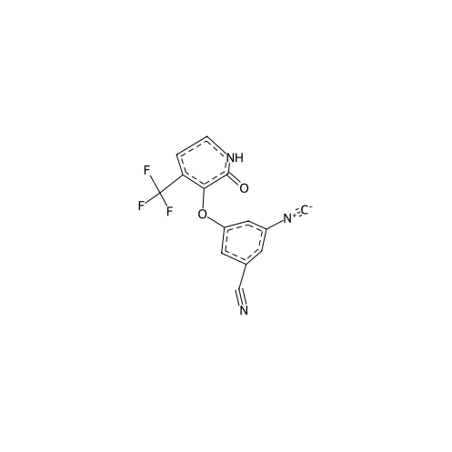 [C-]#[N+]c1cc(C#N)cc(Oc2c(C(F)(F)F)cc[nH]c2=O)c1